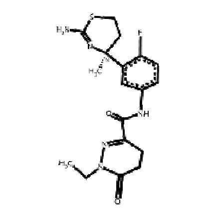 CCN1N=C(C(=O)Nc2ccc(F)c([C@]3(C)CCSC(N)=N3)c2)CCC1=O